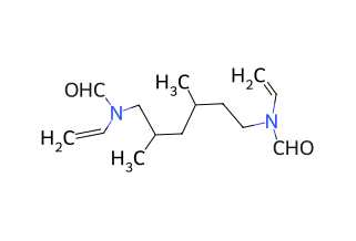 C=CN(C=O)CCC(C)CC(C)CN(C=C)C=O